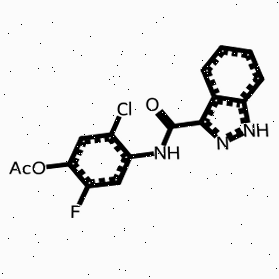 CC(=O)Oc1cc(Cl)c(NC(=O)c2n[nH]c3ccccc23)cc1F